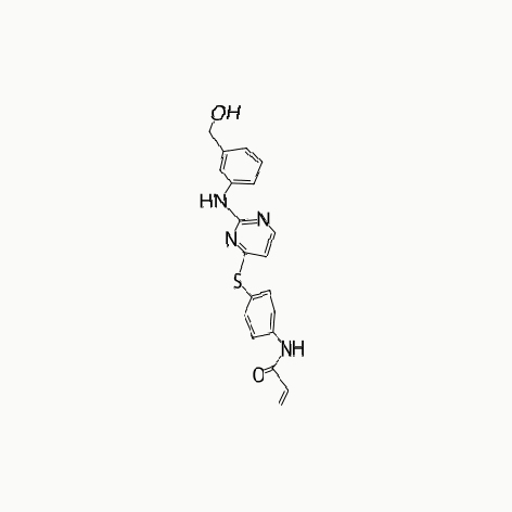 C=CC(=O)Nc1ccc(Sc2ccnc(Nc3cccc(CO)c3)n2)cc1